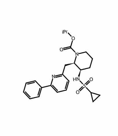 CC(C)OC(=O)N1CCC[C@@H](NS(=O)(=O)C2CC2)[C@H]1Cc1cccc(-c2ccccc2)n1